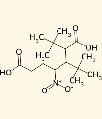 CC(C)(C)C(C(=O)O)C(C(CCC(=O)O)[N+](=O)[O-])C(C)(C)C